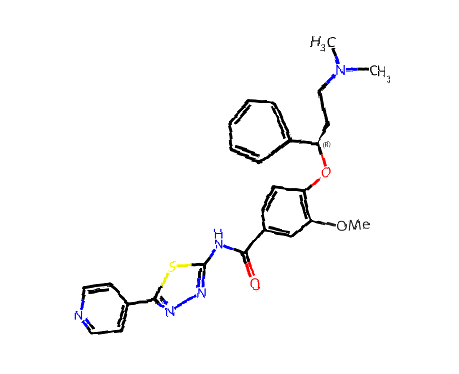 COc1cc(C(=O)Nc2nnc(-c3ccncc3)s2)ccc1O[C@H](CCN(C)C)c1ccccc1